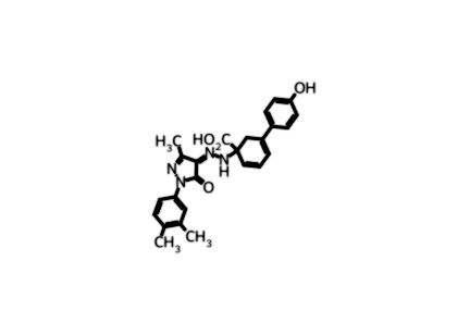 CC1=NN(c2ccc(C)c(C)c2)C(=O)C1=NNC1(C(=O)O)C=CC=C(c2ccc(O)cc2)C1